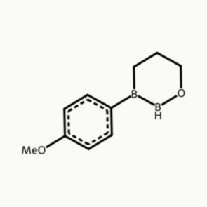 COc1ccc(B2BOCCC2)cc1